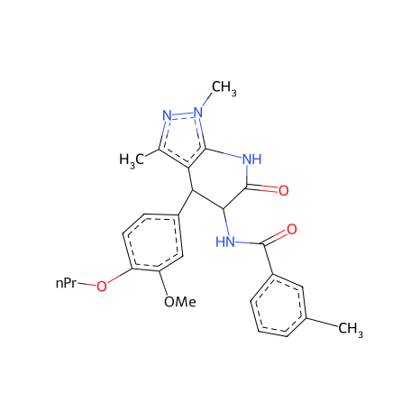 CCCOc1ccc(C2c3c(C)nn(C)c3NC(=O)C2NC(=O)c2cccc(C)c2)cc1OC